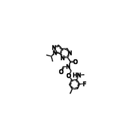 CNc1c(F)cc(C)cc1OCN(C=O)C(=O)c1ncc2cnn(C(C)C)c2n1